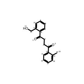 O=C(CCC(=O)c1ccccc1CO)c1ccccc1F